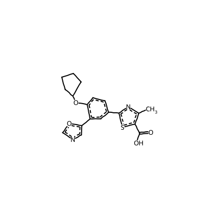 Cc1nc(-c2ccc(OC3CCCC3)c(-c3cnco3)c2)sc1C(=O)O